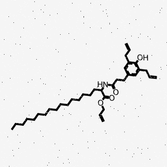 C=CCOC(=O)C(CCCCCCCCCCCCCCCC)NC(=O)CCc1cc(CC=C)c(O)c(CC=C)c1